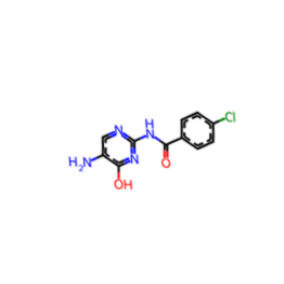 Nc1cnc(NC(=O)c2ccc(Cl)cc2)nc1O